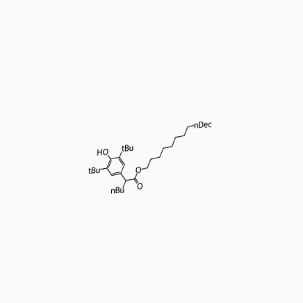 CCCCCCCCCCCCCCCCCCOC(=O)C(CCCC)c1cc(C(C)(C)C)c(O)c(C(C)(C)C)c1